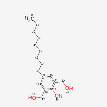 CCCCCCCCCc1cc(CO)c(O)c(CO)c1